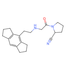 N#CC1CCCN1C(=O)CNCCc1c2c(cc3c1CCC3)CCC2